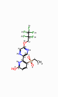 CCS(=O)(=O)c1ccc(O)nc1-c1cnc(OCC(F)(F)C(F)(F)F)cn1